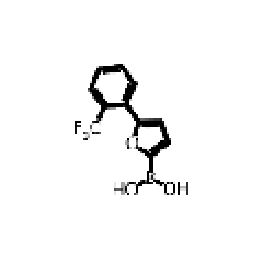 OB(O)c1ccc(-c2ccccc2C(F)(F)F)o1